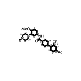 COc1ccc(NC(=O)c2ccc(-c3ccc(C(C)=O)cc3C(F)(F)F)cc2)cc1N1CCN(C)CC1